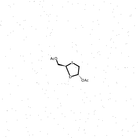 CC(=O)OC[C@@H]1O[C@@H](OC(C)=O)CS1